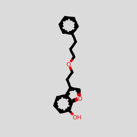 Oc1cccc2c(CCOCCCc3ccccc3)coc12